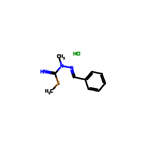 CSC(=N)N(C)/N=C/c1ccccc1.Cl